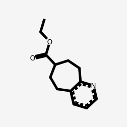 CCOC(=O)C1CCc2cccnc2CC1